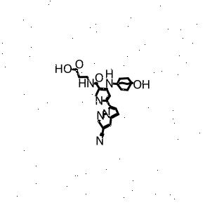 N#Cc1cnn2c(-c3cc(NC45CCC(O)(CC4)CC5)c(C(=O)NCCC(=O)O)cn3)ccc2c1